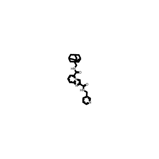 O=C(NCc1cccnc1)c1cn2c(C(=O)NCC34CC5CC(CC(C5)C3)C4)cccc2n1